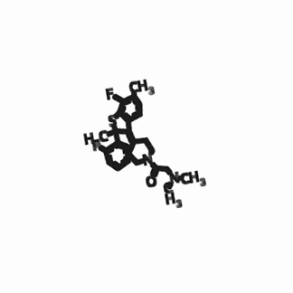 Cc1ccc2c(c1F)SC(C)(c1ccccc1F)C2=C1CCN(C(=O)CN(C)C)CC1